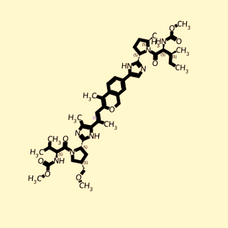 CC[C@H](C)[C@H](NC(=O)OC)C(=O)N1[C@@H](C)CC[C@H]1c1ncc(-c2ccc3c(c2)COC(/C=C(\C)c2[nH]c([C@@H]4C[C@H](COC)CN4C(=O)[C@@H](NC(=O)OC)C(C)C)nc2C)=C3C)[nH]1